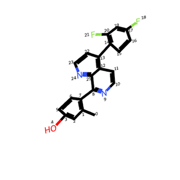 Cc1cc(O)ccc1-c1nccc2c(-c3ccc(F)cc3F)ccnc12